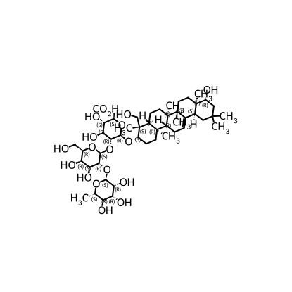 C[C@@H]1O[C@@H](O[C@H]2[C@H](O[C@H]3[C@H](O[C@H]4CC[C@@]5(C)[C@@H](CC[C@]6(C)[C@@H]5CC=C5[C@@H]7CC(C)(C)C[C@@H](O)[C@]7(C)CC[C@]56C)[C@@]4(C)CO)O[C@H](C(=O)O)[C@@H](O)[C@@H]3O)O[C@H](CO)[C@H](O)[C@@H]2O)[C@H](O)[C@H](O)[C@H]1O